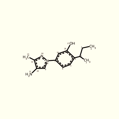 CCC(C)c1ccc(-n2cc(N)c(C)n2)cc1O